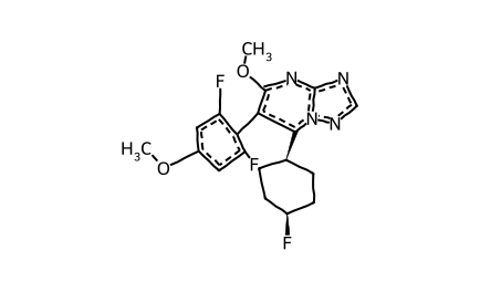 COc1cc(F)c(-c2c(OC)nc3ncnn3c2[C@H]2CC[C@@H](F)CC2)c(F)c1